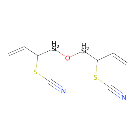 C=CC([SiH2]O[SiH2]C(C=C)SC#N)SC#N